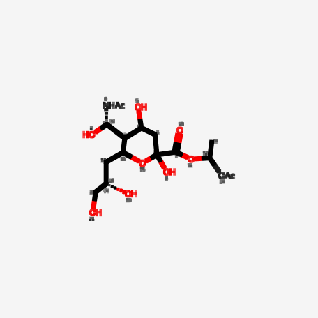 CC(=O)N[C@@H](O)C1C(O)CC(O)(C(=O)OC(C)OC(C)=O)OC1C[C@H](O)CO